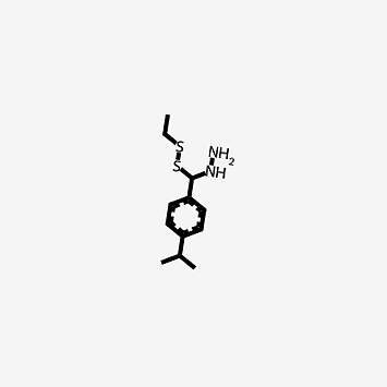 CCSSC(NN)c1ccc(C(C)C)cc1